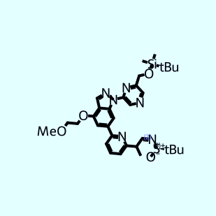 COCCOc1cc(-c2cccc(C(C)/C=N\[S@+]([O-])C(C)(C)C)n2)cc2c1cnn2-c1cncc(CO[Si](C)(C)C(C)(C)C)n1